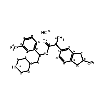 CC(C(=O)OC(CN1CCNCC1)c1cccc(C(F)(F)F)c1)c1ccc2c(c1)CC(C(C)C)C2.Cl